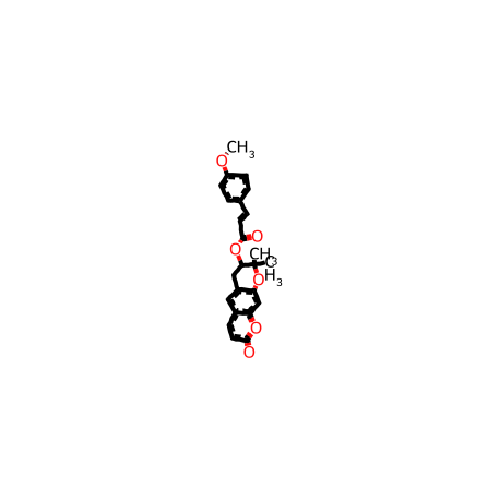 COc1ccc(C=CC(=O)OC2Cc3cc4ccc(=O)oc4cc3OC2(C)C)cc1